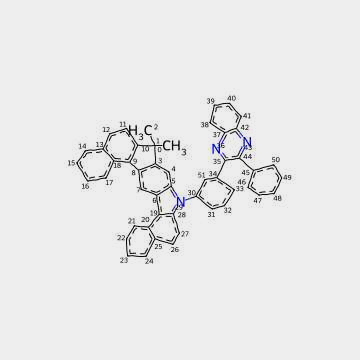 CC1(C)c2cc3c(cc2-c2c1ccc1ccccc21)c1c2ccccc2ccc1n3-c1cccc(-c2nc3ccccc3nc2-c2ccccc2)c1